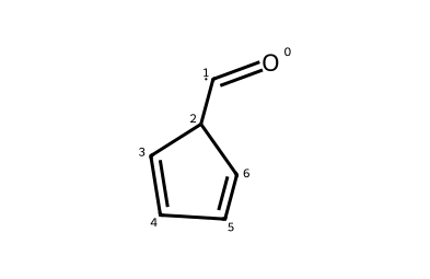 O=[C]C1C=CC=C1